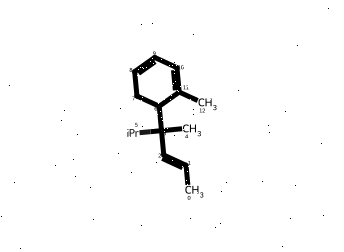 CC=CC(C)(C(C)C)C1CC=CC=C1C